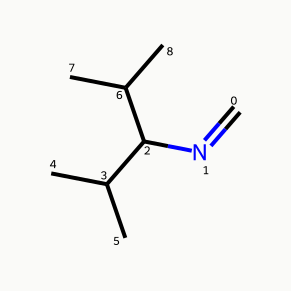 C=NC(C(C)C)C(C)C